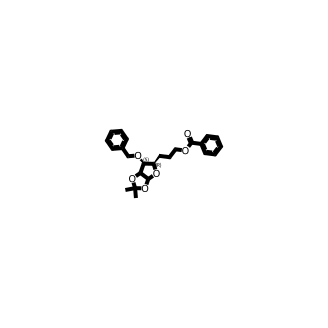 CC1(C)OC2O[C@H](CCCOC(=O)c3ccccc3)[C@H](OCc3ccccc3)C2O1